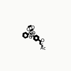 CC(=O)SCC(=O)c1ccc(S(=O)(=O)N(C2=CC=CCC2)C2=COC=CO2)cc1